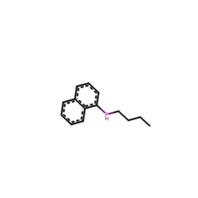 CCCCPc1cccc2ccccc12